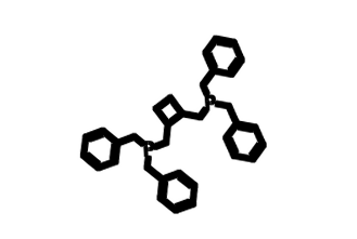 c1ccc(CP(Cc2ccccc2)CC2CCC2CP(Cc2ccccc2)Cc2ccccc2)cc1